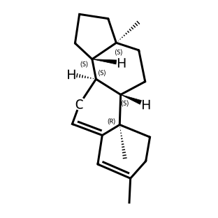 CC1=CC2=CC[C@H]3[C@@H]4CCC[C@@]4(C)CC[C@@H]3[C@@]2(C)CC1